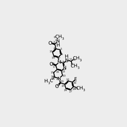 CNC(=O)c1ccc(-n2c(NC(C)C)nc3c(c2=O)C[C@@H](C)N(C(=O)c2ccc(C)c(F)c2)C3)cc1